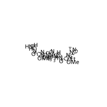 CCn1c(-c2cc3cccnc3n2CC2CC2)nc2cc(C(=O)N3CC[C@H]4CC(c5ncc6cc(-c7nc8cc(C(=O)N9CC[C@@H]%10CCN[C@@H]%10C9)cc(OC)c8n7C)n(CC(F)(F)F)c6n5)N[C@H]4C3)cc(OC)c21